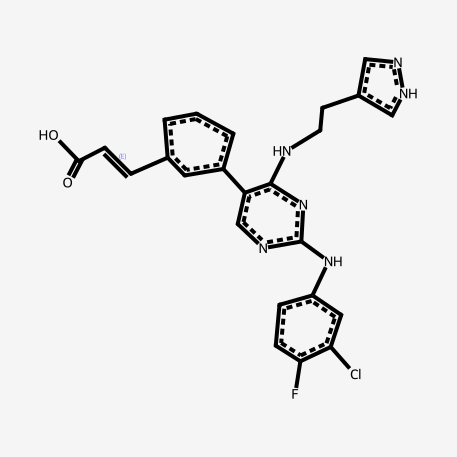 O=C(O)/C=C/c1cccc(-c2cnc(Nc3ccc(F)c(Cl)c3)nc2NCCc2cn[nH]c2)c1